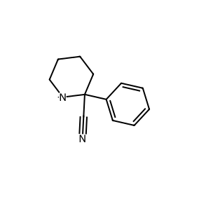 N#CC1(c2ccccc2)CCCC[N]1